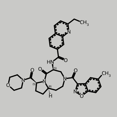 CCc1ccc2ccc(C(=O)N[C@H]3CN(C(=O)c4noc5ccc(C)cc45)CC[C@H]4CC[C@@H](C(=O)N5CCOCC5)N4C3=O)cc2n1